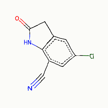 N#Cc1cc(Cl)cc2c1NC(=O)C2